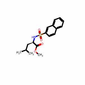 COC(=O)[C@@H](CC(C)C)NS(=O)(=O)c1ccc2ccccc2c1